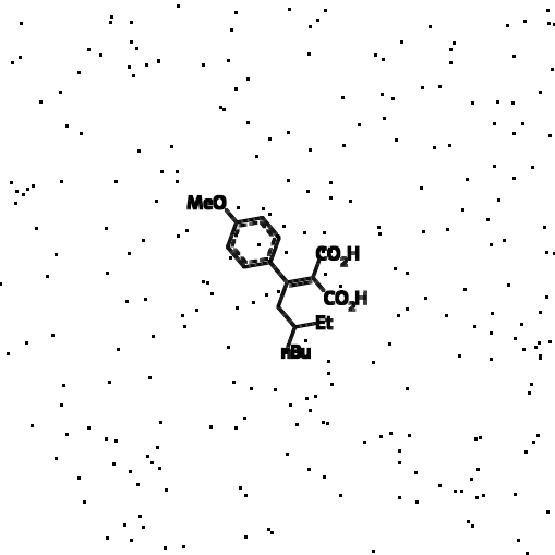 CCCCC(CC)CC(=C(C(=O)O)C(=O)O)c1ccc(OC)cc1